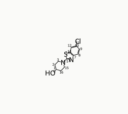 OC1CCN(c2nc3ccc(Cl)cc3s2)CC1